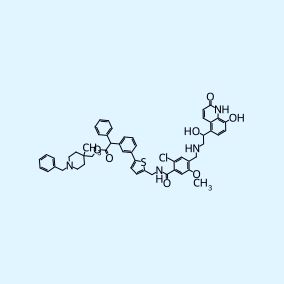 COc1cc(C(=O)NCc2ccc(-c3cccc(C(C(=O)OCC4(C)CCN(Cc5ccccc5)CC4)c4ccccc4)c3)s2)c(Cl)cc1CNCC(O)c1ccc(O)c2[nH]c(=O)ccc12